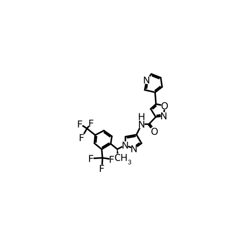 C[C@@H](c1ccc(C(F)(F)F)cc1C(F)(F)F)n1cc(NC(=O)c2cc(-c3cccnc3)on2)cn1